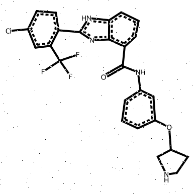 O=C(Nc1cccc(OC2CCNC2)c1)c1cccc2[nH]c(-c3ccc(Cl)cc3C(F)(F)F)nc12